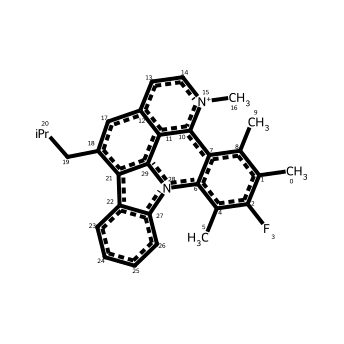 Cc1c(F)c(C)c2c(c1C)c1c3c(cc[n+]1C)cc(CC(C)C)c1c4ccccc4n2c13